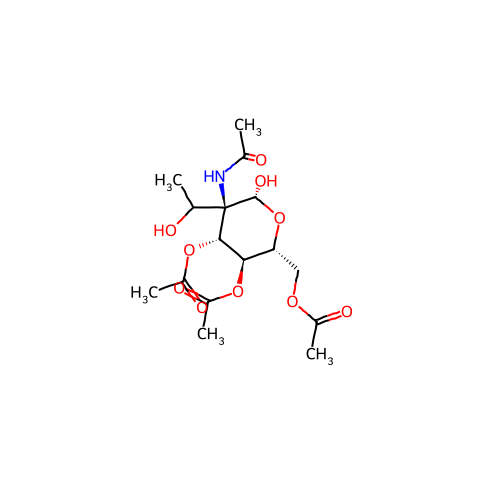 CC(=O)N[C@@]1(C(C)O)[C@H](O)O[C@H](COC(C)=O)[C@@H](OC(C)=O)[C@@H]1OC(C)=O